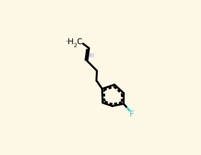 [CH2]/C=C/CCc1ccc(F)cc1